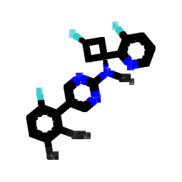 COc1c(C#N)ccc(F)c1-c1cnc(N(C)[C@]2(c3ncccc3F)C[C@@H](F)C2)nc1